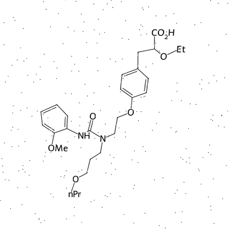 CCCOCCCN(CCOc1ccc(CC(OCC)C(=O)O)cc1)C(=O)Nc1ccccc1OC